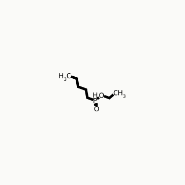 CCCCC[PH](=O)OCC